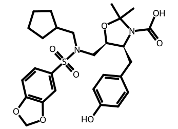 CC1(C)O[C@H](CN(CC2CCCC2)S(=O)(=O)c2ccc3c(c2)OCO3)[C@H](Cc2ccc(O)cc2)N1C(=O)O